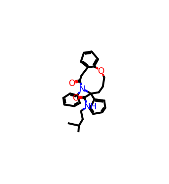 CC(C)CCNC(=O)C1(c2ccccc2)CCCOc2ccccc2CC(=O)N1c1ccccc1